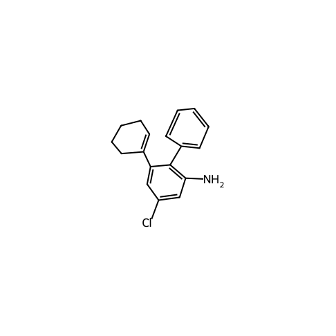 Nc1cc(Cl)cc(C2=CCCCC2)c1-c1ccccc1